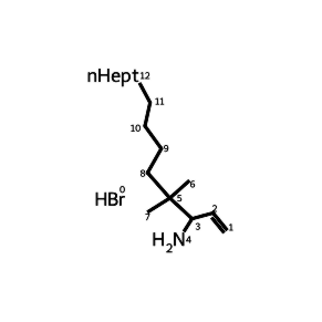 Br.C=CC(N)C(C)(C)CCCCCCCCCCC